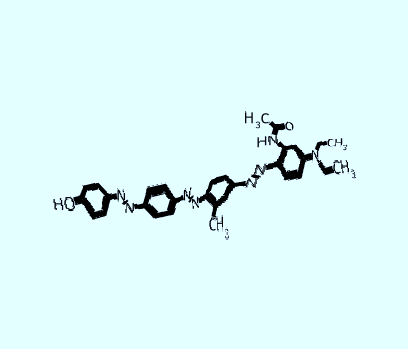 CCN(CC)c1ccc(N=Nc2ccc(N=Nc3ccc(N=Nc4ccc(O)cc4)cc3)c(C)c2)c(NC(C)=O)c1